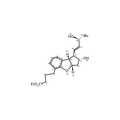 CCOC(=O)CCCc1cccc2c1O[C@H]1C[C@@H](O)[C@H](/C=C/[C@@H](O)[C@@H](C)CC)[C@@H]21